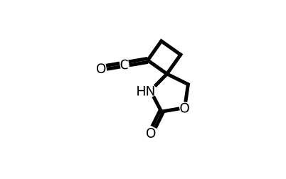 O=C=C1CCC12COC(=O)N2